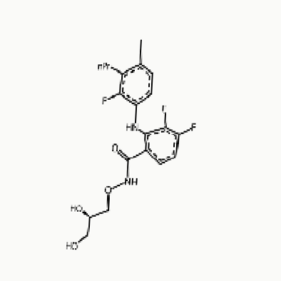 CCCc1c(I)ccc(Nc2c(C(=O)NOC[C@H](O)CO)ccc(F)c2F)c1F